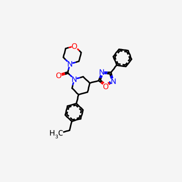 CCc1ccc(C2CC(c3nc(-c4ccccc4)no3)CN(C(=O)N3CCOCC3)C2)cc1